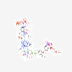 CC1COc2ccccc2N1C(=O)C(Cl)Cl.CCNc1nc(Cl)nc(NC(C)(C)C)n1.CCOC(=O)COC(=O)c1cc(Oc2ccc(C(F)(F)F)cc2Cl)ccc1[N+](=O)[O-].CCc1cccc(C)c1N(C(=O)CCl)C(C)COC.CP(=O)(O)CCC(N)C(=O)O